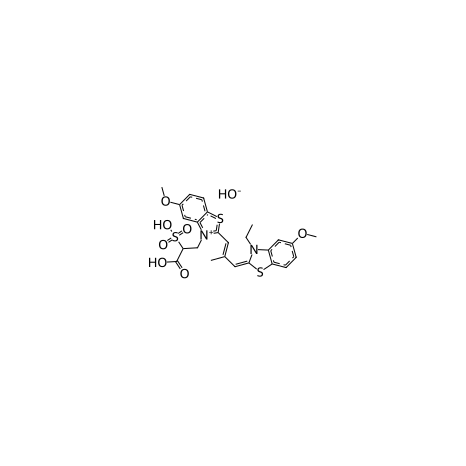 CCN1C(=CC(C)=Cc2sc3ccc(OC)cc3[n+]2CC(C(=O)O)S(=O)(=O)O)Sc2ccc(OC)cc21.[OH-]